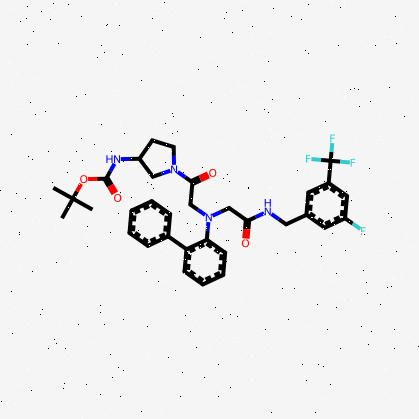 CC(C)(C)OC(=O)NC1CCN(C(=O)CN(CC(=O)NCc2cc(F)cc(C(F)(F)F)c2)c2ccccc2-c2ccccc2)C1